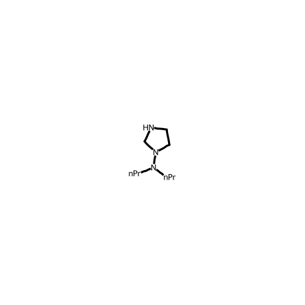 CCCN(CCC)N1CCNC1